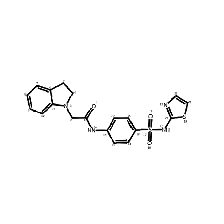 O=C(CN1CCc2ccccc21)Nc1ccc(S(=O)(=O)Nc2nccs2)cc1